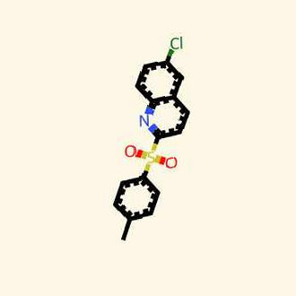 Cc1ccc(S(=O)(=O)c2ccc3cc(Cl)ccc3n2)cc1